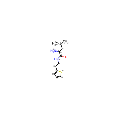 CC(C)C[C@H](N)C(=O)NCCc1cccs1